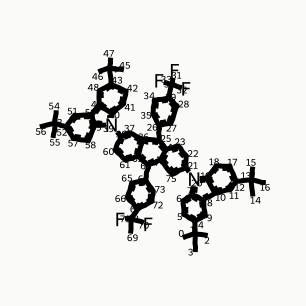 CC(C)(C)c1ccc2c(c1)c1cc(C(C)(C)C)ccc1n2-c1ccc2c(-c3ccc(C(F)(F)F)cc3)c3cc(-n4c5ccc(C(C)(C)C)cc5c5cc(C(C)(C)C)ccc54)ccc3c(-c3ccc(C(C)(F)F)cc3)c2c1